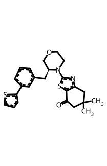 CC1(C)CC(=O)c2sc(N3CCOC[C@@H]3Cc3cccc(-c4cccs4)c3)nc2C1